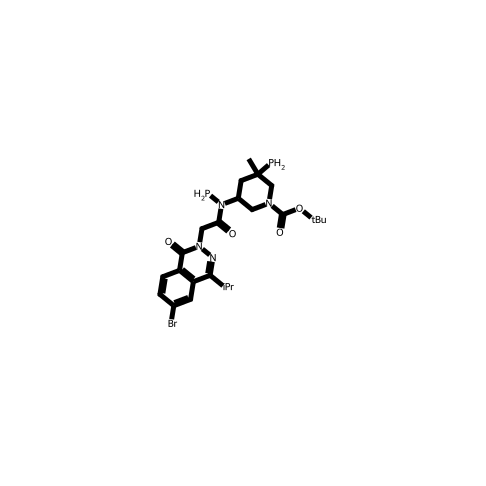 CC(C)c1nn(CC(=O)N(P)C2CN(C(=O)OC(C)(C)C)CC(C)(P)C2)c(=O)c2ccc(Br)cc12